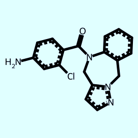 Nc1ccc(C(=O)N2Cc3ccnn3Cc3ccccc32)c(Cl)c1